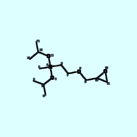 CC(C)O[Si](C)(CCOCC1CO1)OC(C)C